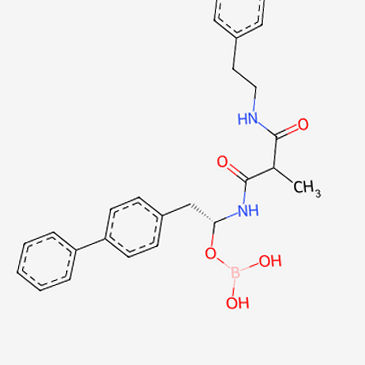 COc1cccc(CCNC(=O)C(C)C(=O)N[C@@H](Cc2ccc(-c3ccccc3)cc2)OB(O)O)c1